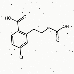 O=C(O)CCCc1cc(Cl)ccc1C(=O)O